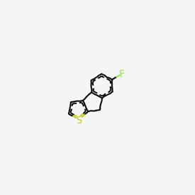 Fc1ccc2c(c1)Cc1sccc1-2